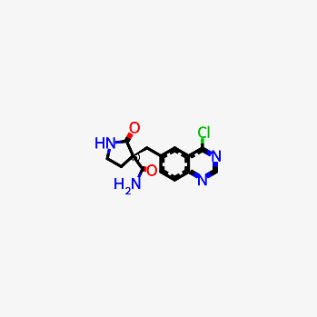 NC(=O)[C@]1(Cc2ccc3ncnc(Cl)c3c2)CCNC1=O